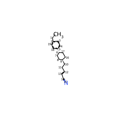 CCc1ccc([C@H]2CC[C@H](CCC=CC#N)CC2)cc1